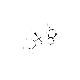 C#CC1(F)C(O)[C@@H]([C@H](C)O)O[C@H]1n1cnc2cnc(N)nc21